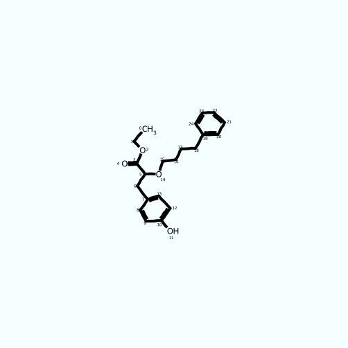 CCOC(=O)C(Cc1ccc(O)cc1)OCCCCc1ccccc1